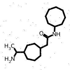 CC(N)C1CCCC(CC(=O)NC2CCCCCCC2)CC1